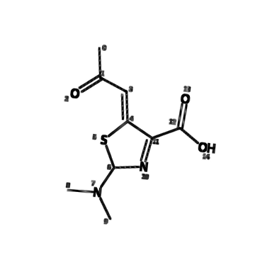 CC(=O)C=C1SC(N(C)C)N=C1C(=O)O